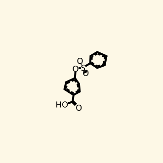 O=C(O)c1ccc(OS(=O)(=O)c2ccccc2)cc1